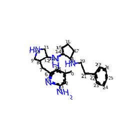 Cc1cc(N)nc(CC2CNCC2NC2CCCC2NCCc2ccccc2)c1